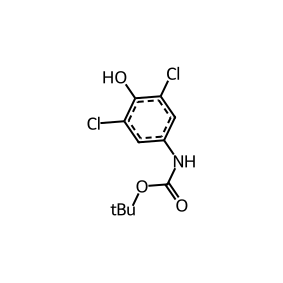 CC(C)(C)OC(=O)Nc1cc(Cl)c(O)c(Cl)c1